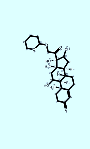 C[C@]12CCC(=O)C=C1CC[C@H]1[C@@H]3CC(O)[C@](O)(C(=O)COC4CCCCO4)[C@@]3(C)CC(O)[C@@]12F